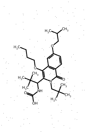 CCCCOc1c(C(NC(=O)O)C(C)(C)C)n(CC(C)(C)C)c(=O)c2ccc(OCC(C)C)cc12